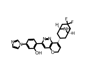 Oc1cc(-n2ccnc2)ccc1-c1cc2c(nn1)C([C@H]1C[C@@H]3CC(F)(F)C[C@H](C1)N3)=CCO2